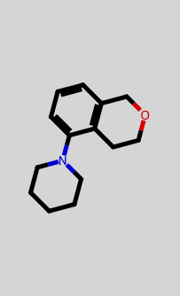 c1cc2c(c(N3CCCCC3)c1)CCOC2